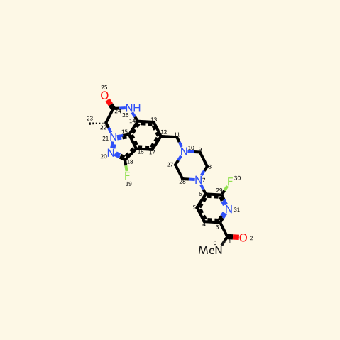 CNC(=O)c1ccc(N2CCN(Cc3cc4c5c(c3)c(F)nn5[C@H](C)C(=O)N4)CC2)c(F)n1